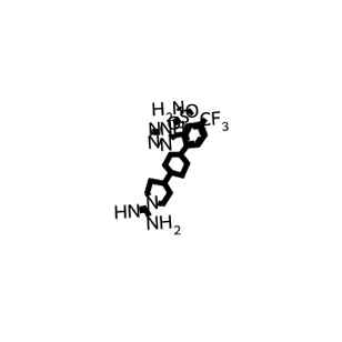 N=C(N)N1CCC(C2CCC(c3ccc(C(F)(F)F)c(S(N)(=O)=O)c3-c3nnn[nH]3)CC2)CC1